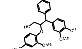 COc1cc(C(c2ccccc2)C(CO)Oc2ccc(C(=O)O)cc2OC)ccc1O